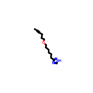 CC#CCCCOCCCCCCc1nc[nH]n1